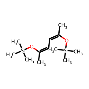 CC(=CC=C(C)O[Si](C)(C)C)O[Si](C)(C)C